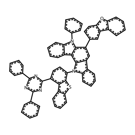 c1ccc(-c2nc(-c3ccccc3)nc(-c3ccc(-n4c5ccccc5c5cc(-c6ccc7oc8ccccc8c7c6)c6c(c7ccccc7n6-c6ccccc6)c54)c4sc5ccccc5c34)n2)cc1